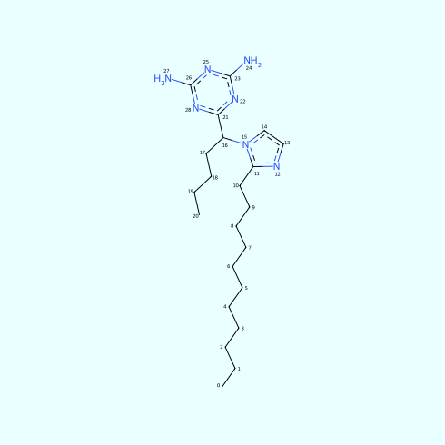 CCCCCCCCCCCc1nccn1C(CCCC)c1nc(N)nc(N)n1